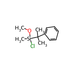 CO[Si](C)(Cl)C(C)(C)c1ccccc1